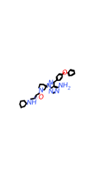 Nc1ncnc2c1c(-c1ccc(Oc3ccccc3)cc1)nn2[C@@H]1CCCN(C(=O)/C=C/CNC2CCCCC2)C1